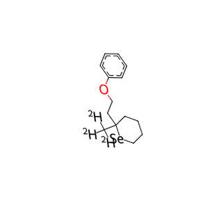 [2H]C([2H])([2H])C1(CCOc2ccccc2)CCCC[Se]1